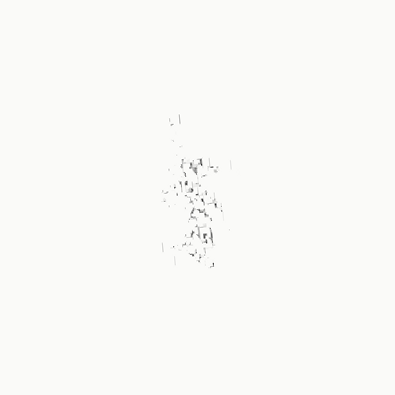 CCCCCCC[C@@H](C)C(=O)N(C)[C@@H](CC(C)C)C(=O)N[C@H](C(=O)N[C@@H](CN)C(=O)N[C@@H](CN1CC(C(N)=O)C1)C(=O)NCC(=O)O)C1CCCCC1